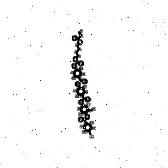 C=CC(=O)OCCCCOC(=O)Oc1ccc(C(=O)Oc2ccc(C(=O)Oc3ccc(OC(=O)c4ccc(C)cc4)c(C)c3)cc2)cc1